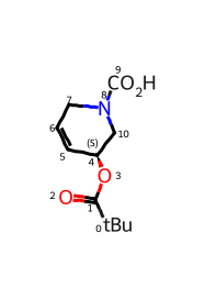 CC(C)(C)C(=O)O[C@H]1C=CCN(C(=O)O)C1